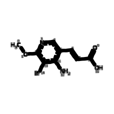 COc1ncc(/C=C/C(=O)O)c(N)c1Br